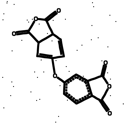 O=C1OC(=O)c2cc(OC3=CC4C(=O)OC(=O)C4C=C3)ccc21